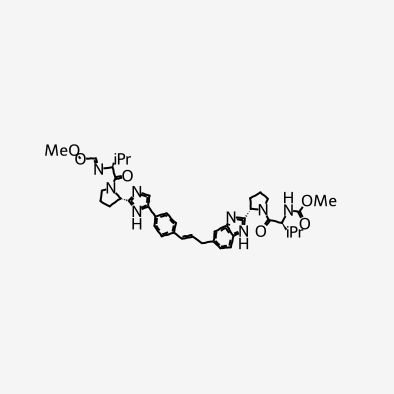 COO/C=N/[C@H](C(=O)N1CCC[C@H]1c1ncc(-c2ccc(C=CCc3ccc4[nH]c([C@@H]5CCCN5C(=O)[C@@H](NC(=O)OC)C(C)C)nc4c3)cc2)[nH]1)C(C)C